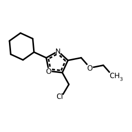 CCOCc1nc(C2CCCCC2)oc1CCl